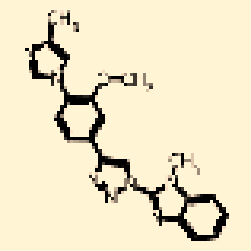 COc1cc(-c2cn(-c3nc4ccccc4n3C)nn2)ccc1-n1cnc(C)c1